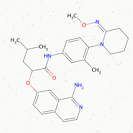 CO/N=C1/CCCCN1c1ccc(NC(=O)C(CC(C)C)Oc2ccc3ccnc(N)c3c2)cc1C